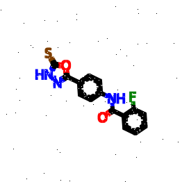 O=C(Nc1ccc(-c2n[nH]c(=S)o2)cc1)c1ccccc1F